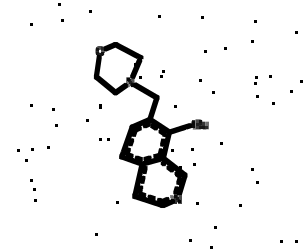 CC(C)(C)c1c(CN2CCOCC2)ccc2ccncc12